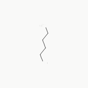 CCCC[CH]CCCCC